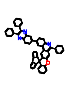 c1ccc(-c2nc3ccc(-c4ccc5nc(-c6ccccc6)c6cc7c(cc6c5c4)C4(c5ccccc5O7)c5ccccc5-c5ccccc54)cc3nc2-c2ccccc2)cc1